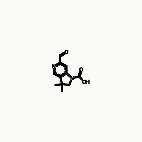 CC1(C)CN(C(=O)O)c2cc(C=O)ncc21